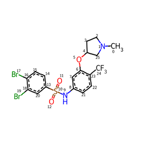 CN1CCC(Oc2cc(NS(=O)(=O)c3ccc(Br)c(Br)c3)ccc2C(F)(F)F)C1